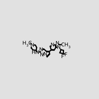 Cc1nc2ncc(-c3ccn4nc(NC5CCN(C)CC5)ncc34)cc2n1C1CC(F)(F)C1